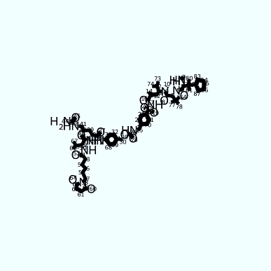 CNC(C(=O)NC(C(=O)N(C)C(C=C(C)C(=O)NS(=O)(=O)c1ccc(CNC(=O)OCc2ccc(NC(=O)C(CCCNC(N)=O)NC(=O)C(NC(=O)CCCCCN3C(=O)C=CC3=O)C(C)C)cc2)cc1)C(C)C)C(C)(C)C)C(C)(C)c1ccccc1